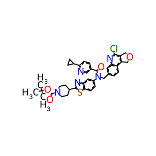 CC(C)(C)OC(=O)N1CCC(c2nc3cc(N(Cc4ccc5c6c(c(Cl)nc5c4)COC6)C(=O)c4ccc(C5CC5)nc4)ccc3s2)CC1